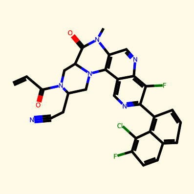 C=CC(=O)N1CC2C(=O)N(C)c3cnc4c(F)c(-c5cccc6ccc(F)c(Cl)c56)ncc4c3N2CC1CC#N